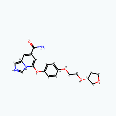 NC(=O)c1cc(Oc2ccc(OCCO[C@@H]3CCOC3)cc2)n2cncc2c1